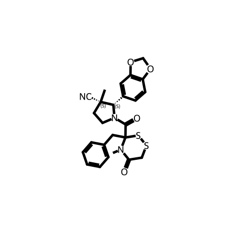 CN1C(=O)CSSC1(Cc1ccccc1)C(=O)N1CC[C@](C)(C#N)[C@@H]1c1ccc2c(c1)OCO2